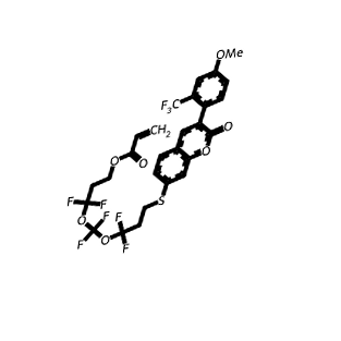 C=CC(=O)OCCC(F)(F)OC(F)(F)OC(F)(F)CCSc1ccc2cc(-c3ccc(OC)cc3C(F)(F)F)c(=O)oc2c1